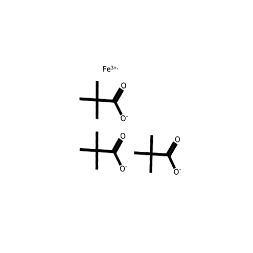 CC(C)(C)C(=O)[O-].CC(C)(C)C(=O)[O-].CC(C)(C)C(=O)[O-].[Fe+3]